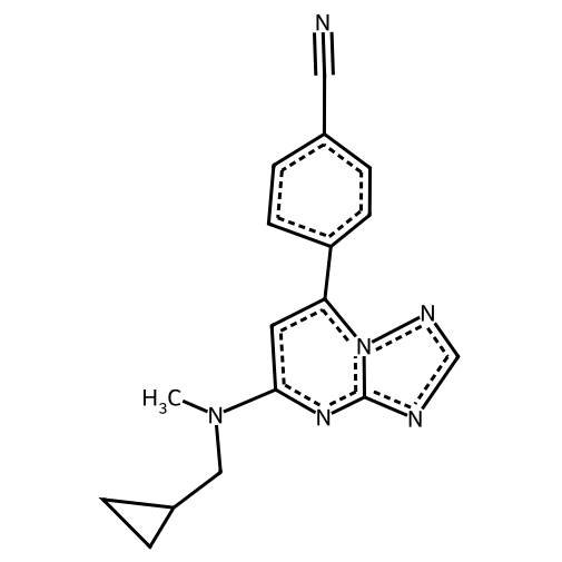 CN(CC1CC1)c1cc(-c2ccc(C#N)cc2)n2ncnc2n1